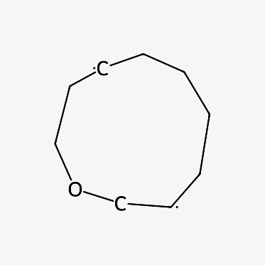 [CH]1CCCC[CH]COCC1